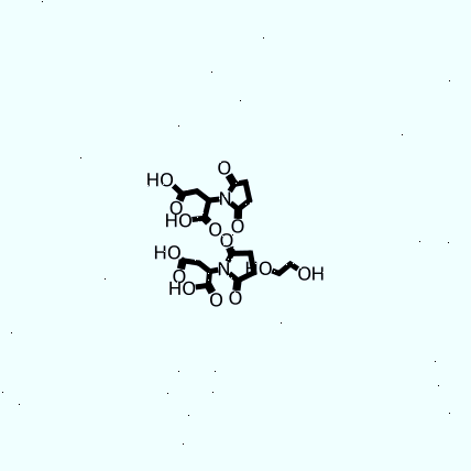 O=C(O)CC(C(=O)O)N1C(=O)CCC1=O.O=C(O)CC(C(=O)O)N1C(=O)CCC1=O.OCCO